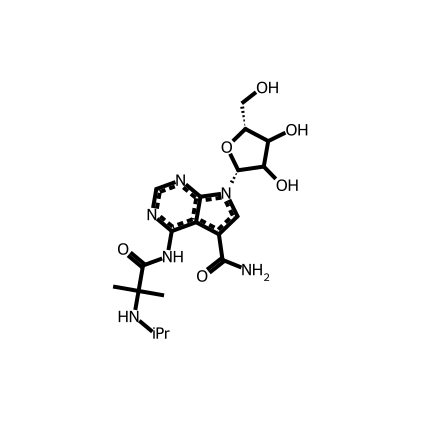 CC(C)NC(C)(C)C(=O)Nc1ncnc2c1c(C(N)=O)cn2[C@@H]1O[C@H](CO)C(O)C1O